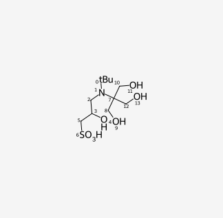 CC(C)(C)N(CC(O)CS(=O)(=O)O)C(CO)(CO)CO